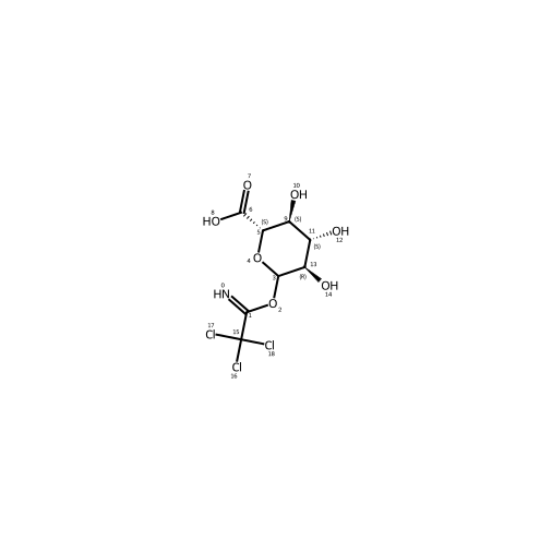 N=C(OC1O[C@H](C(=O)O)[C@@H](O)[C@H](O)[C@H]1O)C(Cl)(Cl)Cl